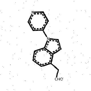 O=CCc1cccc2c1ccn2-c1ccncc1